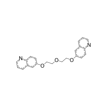 c1cnc2ccc(OCCOCCOc3ccc4ncccc4c3)cc2c1